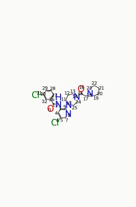 O=C(Nc1cc(Cl)cnc1N1CCCN(C(=O)CN2CCCCC2)CC1)c1cccc(Cl)c1